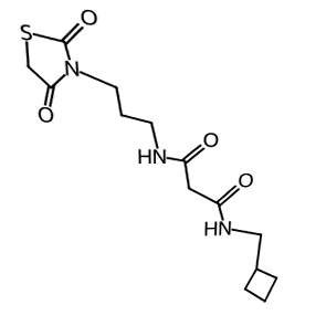 O=C(CC(=O)NCC1CCC1)NCCCN1C(=O)CSC1=O